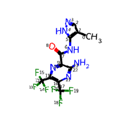 Cc1cn[nH]c1NC(=O)c1nc(C(F)(F)F)c(C(F)(F)F)nc1N